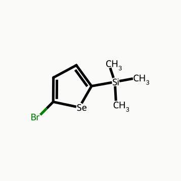 C[Si](C)(C)c1ccc(Br)[se]1